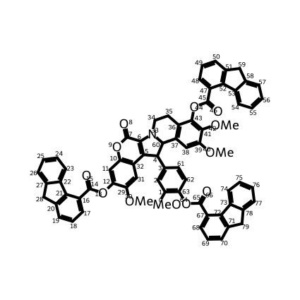 COc1cc(C2c3c(c(=O)oc4cc(OC(=O)c5cccc6c5-c5ccccc5C6)c(OC)cc34)N3CCc4c(cc(OC)c(OC)c4OC(=O)c4cccc5c4-c4ccccc4C5)C23)ccc1OC(=O)c1cccc2c1-c1ccccc1C2